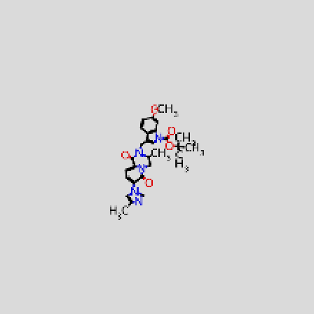 COc1ccc2c(CN3C(=O)c4ccc(-n5cnc(C)c5)c(=O)n4CC3C)cn(C(=O)OC(C)(C)C)c2c1